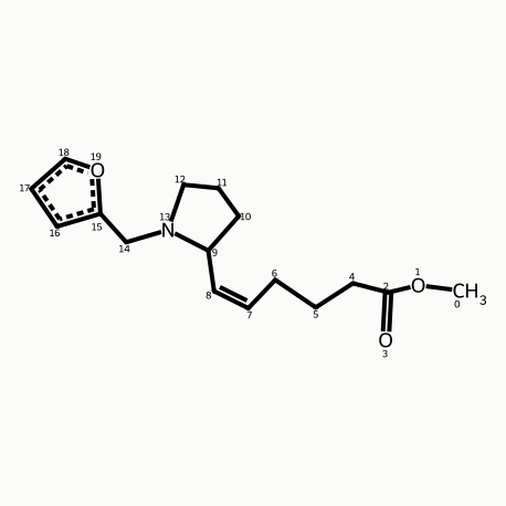 COC(=O)CCC/C=C\C1CCCN1Cc1ccco1